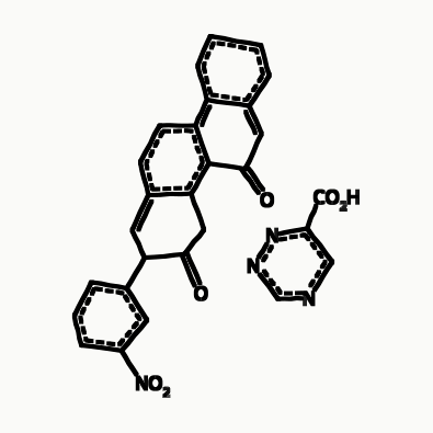 O=C(O)c1cncnn1.O=C1C=c2ccccc2=c2ccc3c(c21)CC(=O)C(c1cccc([N+](=O)[O-])c1)C=3